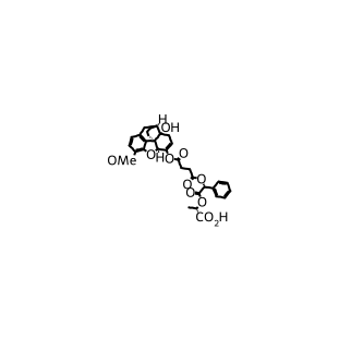 COc1ccc2c3c1O[C@@H]1C(OC(=O)CCC(=O)O[C@H](C(=O)O[C@@H](C)C(=O)O)c4ccccc4)=CC[C@]4(O)[C@@H](CCC[C@@]314)C2